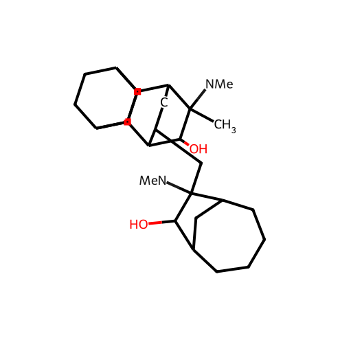 CNC1(C)C(O)C2C(CC3(NC)C4CCCCC(C4)C3O)CC1C1C3CCC(CC3)C21